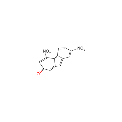 O=C1C=C2C=c3cc([N+](=O)[O-])ccc3=C2C([N+](=O)[O-])=C1